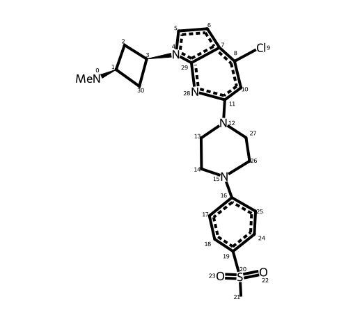 CN[C@H]1C[C@@H](n2ccc3c(Cl)cc(N4CCN(c5ccc(S(C)(=O)=O)cc5)CC4)nc32)C1